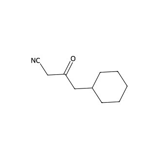 N#CCC(=O)CC1CCCCC1